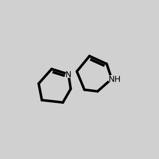 C1=CNCCC1.C1=NCCCC1